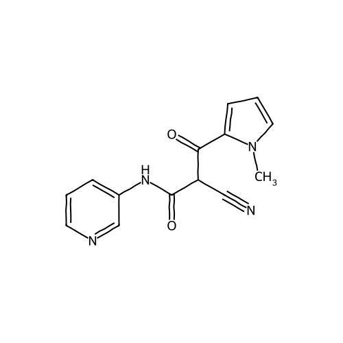 Cn1cccc1C(=O)C(C#N)C(=O)Nc1cccnc1